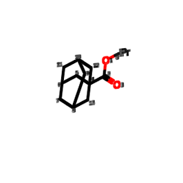 CC(C)OC(=O)C12CC3CC(CC(C3)C1)C2